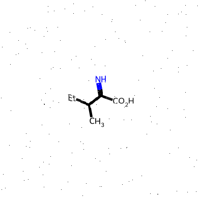 CCC(C)C(=N)C(=O)O